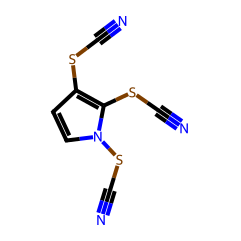 N#CSc1ccn(SC#N)c1SC#N